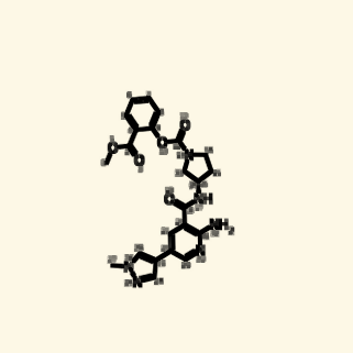 COC(=O)c1ccccc1OC(=O)N1CC[C@@H](NC(=O)c2cc(-c3cnn(C)c3)cnc2N)C1